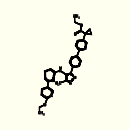 CCOC(=O)C1(c2ccc(-c3ccc(-c4onc(C)c4Nc4cccc(-c5ccc(OCC)nc5)n4)cc3)cc2)CC1